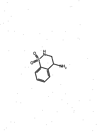 NC1CNS(=O)(=O)c2ccccc21